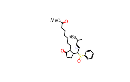 CCCCC(C)/C=C/C(C1CCC(=O)C1CCCCCCC(=O)OC)[S+]([O-])c1ccccc1